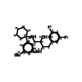 CC(=O)NC(Cc1cc(F)cc(F)c1)C(O)CNC1(c2cccc(C(C)(C)C)c2)CCCCC1